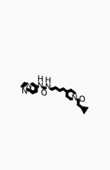 O=C(NCCCCC1CCN(C(=O)CC2CC2)CC1)Nc1ccc2nccn2c1